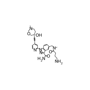 CN1CC[C@@](O)(C#Cc2ccnc(-n3nc(C(N)=O)c4cc(CN(C)C(=O)CCCN)ccc43)c2)COC1